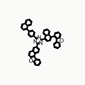 c1ccc2c(-c3ccc(-c4nc(-c5ccc6c(ccc7oc8ccccc8c76)c5)nc(-c5ccc(-c6cccc7oc8ccccc8c67)c6ccccc56)n4)cc3)cccc2c1